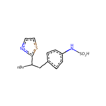 CCCCC(Cc1ccc(NS(=O)(=O)O)cc1)c1nccs1